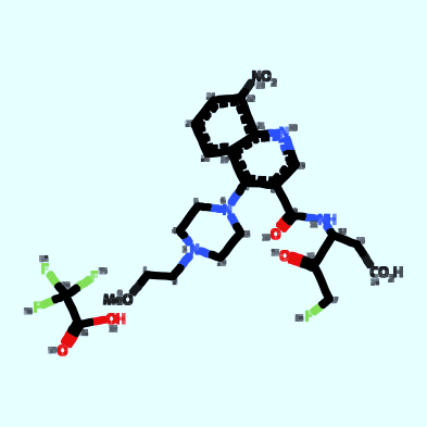 COCCN1CCN(c2c(C(=O)NC(CC(=O)O)C(=O)CF)cnc3c([N+](=O)[O-])cccc23)CC1.O=C(O)C(F)(F)F